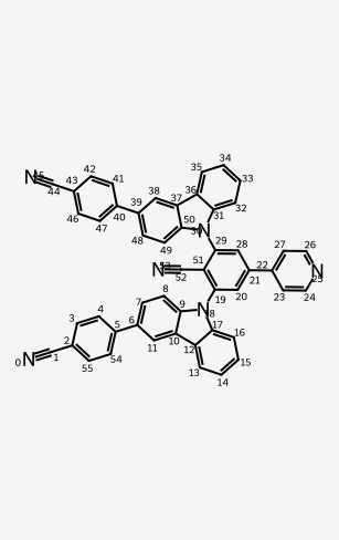 N#Cc1ccc(-c2ccc3c(c2)c2ccccc2n3-c2cc(-c3ccncc3)cc(-n3c4ccccc4c4cc(-c5ccc(C#N)cc5)ccc43)c2C#N)cc1